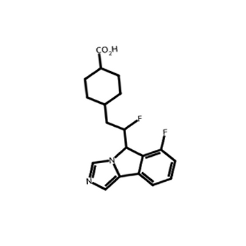 O=C(O)C1CCC(CC(F)C2c3c(F)cccc3-c3cncn32)CC1